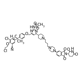 CC(C)(c1ccc(OCc2cc(C3CCN(CCCCN4CCN(c5ccc6c(c5)C(=O)N(C5CCC(=O)NC5=O)C6=O)CC4)CC3)nc(NS(C)(=O)=O)n2)cc1)c1cc(Cl)c(OCCCl)c(C#N)c1